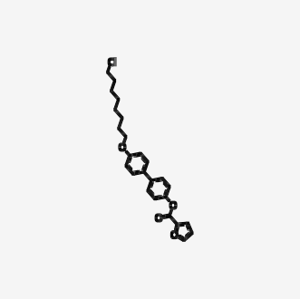 O=C(Oc1ccc(-c2ccc(OCCCCCCCCCl)cc2)cc1)c1ccco1